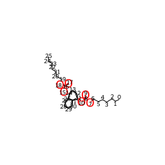 CCCCCCCOC(=O)Oc1ccc(OC(=O)OCCCCCCC)c2ccccc12